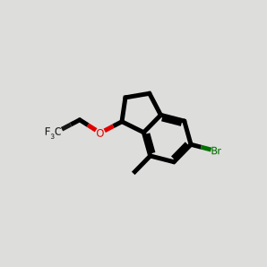 Cc1cc(Br)cc2c1C(OCC(F)(F)F)CC2